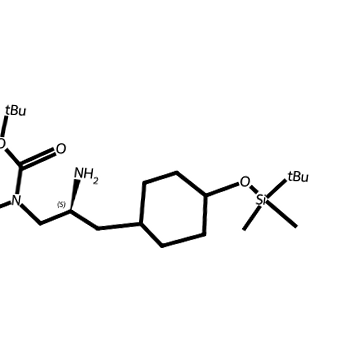 CN(C[C@@H](N)CC1CCC(O[Si](C)(C)C(C)(C)C)CC1)C(=O)OC(C)(C)C